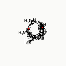 C=C1C[C@@H]2CC[C@@]34C[C@@H]5O[C@@H]6[C@@H](OC7CC[C@H](CC(=O)C[C@H]8C(C[C@H]9O[C@@H](CC[C@@H]1O2)C[C@@H](C)C9=C)O[C@H](C[C@H](O)CO)[C@@H]8OC)O[C@@H]7[C@@H]6O3)[C@@H]5O4